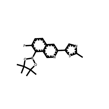 Cc1ncc(-c2cc3ccc(F)c(B4OC(C)(C)C(C)(C)O4)c3cn2)s1